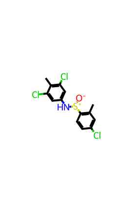 Cc1cc(Cl)ccc1[S+]([O-])Nc1cc(Cl)c(C)c(Cl)c1